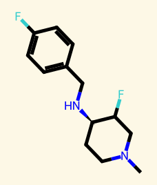 CN1CC[C@@H](NCc2ccc(F)cc2)C(F)C1